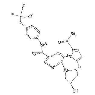 NC(=O)C1=CC=C(Cl)[SH]1c1cc(C(=O)Nc2ccc(OC(F)(F)Cl)cc2)cnc1N1CC[C@@H](O)C1